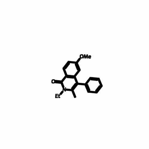 CCn1c(C)c(-c2ccccc2)c2cc(OC)ccc2c1=O